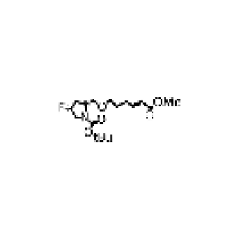 COC(=O)C=CCCCOC[C@@H]1C[C@H](F)CN1C(=O)OC(C)(C)C